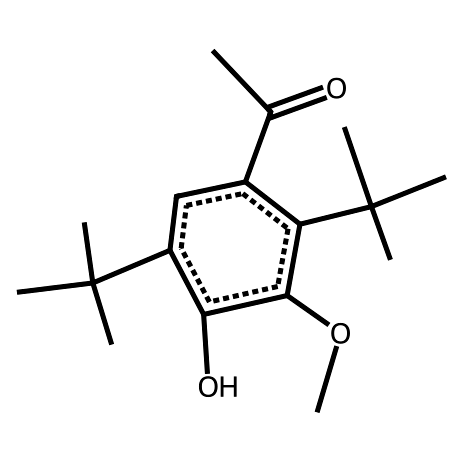 COc1c(O)c(C(C)(C)C)cc(C(C)=O)c1C(C)(C)C